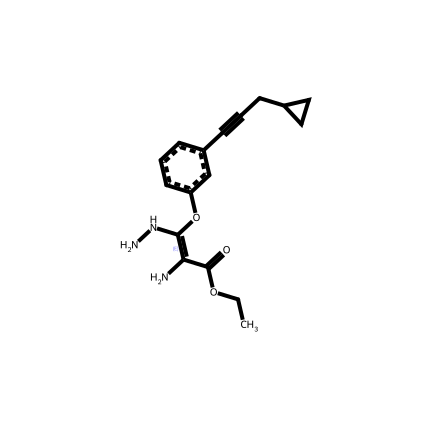 CCOC(=O)/C(N)=C(/NN)Oc1cccc(C#CCC2CC2)c1